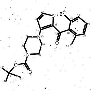 CC(C)(C)OC(=O)N1CCN(c2ccsc2C(=O)c2c(F)cccc2Br)CC1